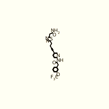 NC(=O)Cc1nnc(CCC#Cc2ccc(NC(=O)Cc3cccc(OC(F)(F)F)c3)nc2)s1